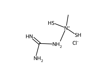 C[N+](C)(S)S.N=C(N)N.[Cl-]